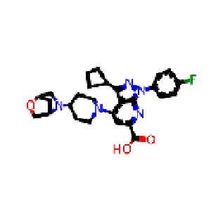 O=C(O)c1cc(N2CCC(N3CC4CC3CO4)CC2)c2c(C3CCC3)nn(-c3ccc(F)cc3)c2n1